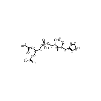 CCCC(=O)OC(COC(=O)CC)COP(=O)(O)OCCNC(Cc1c[nH]cn1)OC=O